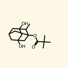 CC1C2(O)CC3CC(O)(C2)CC1(OC(=O)C(C)(C)C)C3